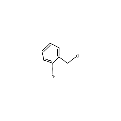 [N]c1ccccc1CCl